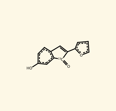 O=[13C]1C(c2ccco2)=Cc2ccc(O)cc21